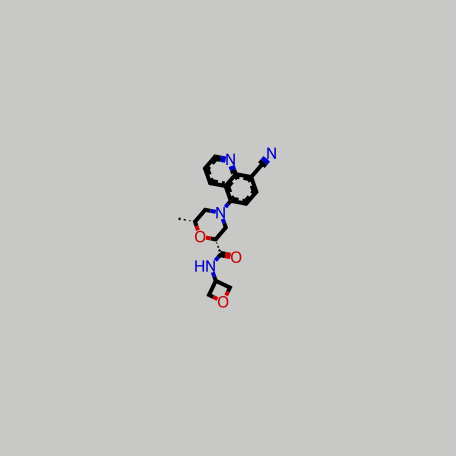 C[C@@H]1CN(c2ccc(C#N)c3ncccc23)C[C@H](C(=O)NC2COC2)O1